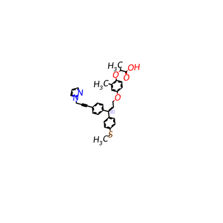 CSc1ccc(/C(=C/COc2ccc(OC(C)C(=O)O)c(C)c2)c2ccc(C#CCn3cccn3)cc2)cc1